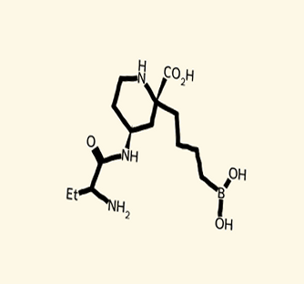 CCC(N)C(=O)N[C@H]1CCN[C@@](CCCCB(O)O)(C(=O)O)C1